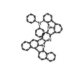 c1ccc(N(c2ccccc2)c2cccc3c4cccc5c6nc7c(cc6n(c23)c45)c2cc3ccccc3c3c4ccc5ccccc5c4n7c23)cc1